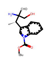 C[C@@H](c1cn(C(=O)OC(C)(C)C)c2ccccc12)C(N)(C=O)CO